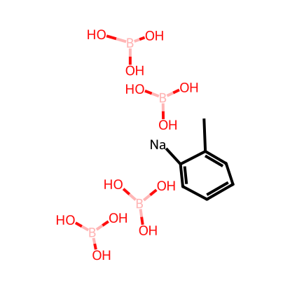 Cc1cccc[c]1[Na].OB(O)O.OB(O)O.OB(O)O.OB(O)O